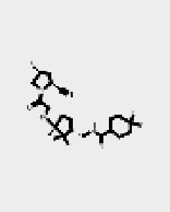 CC1(C)[C@@H](CNC(=O)C2CCC(F)(F)CC2)CC[C@@]1(C)NCC(=O)N1C[C@@H](F)C[C@H]1C#N